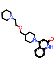 O=c1cc(N2CCC(COCCN3CCCCC3)CC2)c2ccccc2[nH]1